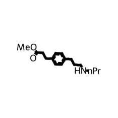 CCCNCCCc1ccc(CCC(=O)OC)cc1